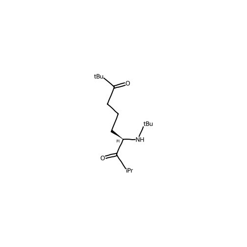 CC(C)C(=O)[C@@H](CCCC(=O)C(C)(C)C)NC(C)(C)C